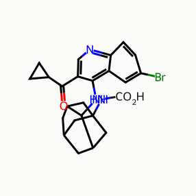 O=C(O)NC12CC3CC(C1)C(Nc1c(C(=O)C4CC4)cnc4ccc(Br)cc14)C(C3)C2